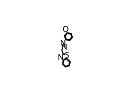 COc1cccc(N=NCc2nc3ccccc3s2)c1